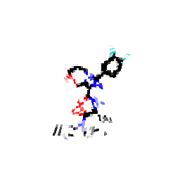 CN(C)C(=O)[C@@H](NC(=O)c1nc(-c2ccc(F)c(F)c2)n2c1COCCC2)C(C)(C)C